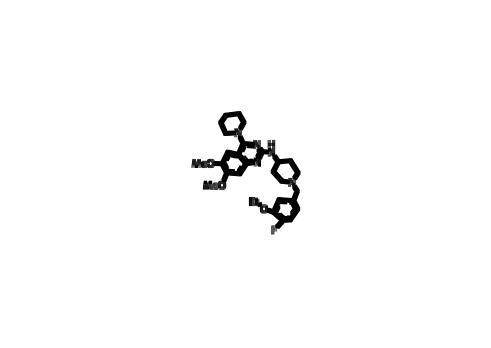 CCOc1cc(CN2CCC(Nc3nc(N4CCCCC4)c4cc(OC)c(OC)cc4n3)CC2)ccc1F